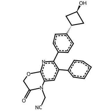 N#CCN1C(=O)COc2nc(-c3ccc([C@H]4C[C@H](O)C4)cc3)c(-c3ccccc3)cc21